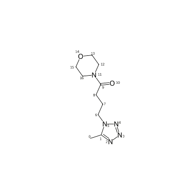 Cc1nnnn1CCCC(=O)N1CCOCC1